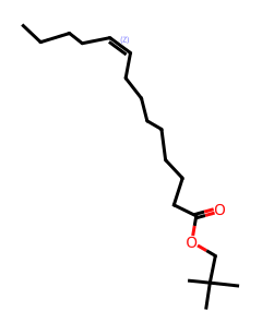 CCCC/C=C\CCCCCCCC(=O)OCC(C)(C)C